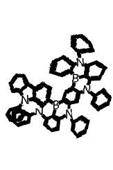 c1ccc(N2c3ccccc3B3c4cc5c(cc4N(c4ccccc4)c4cccc2c43)N(c2ccccc2)c2cccc3c2B5c2ccc4c5ccccc5n(-c5ccccc5)c4c2N3c2ccccc2)cc1